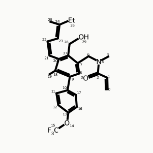 C=CC(=O)N(C)Cc1cc(-c2ccc(OC(F)(F)F)cc2)c(C)c(/C=C\C=C(/C)CC)c1CO